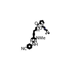 CNc1nc(Nc2ccc(C#N)cc2)ncc1C#CCCCNC(=O)[C@@H]1CCCN1C(=O)/C=C/CN(C)C